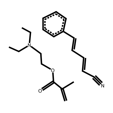 C=C(C)C(=O)OCCN(CC)CC.N#CC=CC=Cc1ccccc1